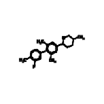 Cc1ccc(-c2c(C)cc(C3CCC(C)CO3)cc2C)cc1F